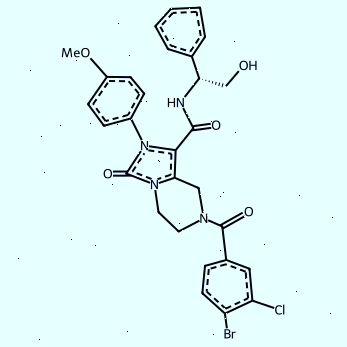 COc1ccc(-n2c(C(=O)N[C@@H](CO)c3ccccc3)c3n(c2=O)CCN(C(=O)c2ccc(Br)c(Cl)c2)C3)cc1